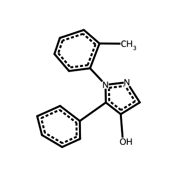 Cc1ccccc1-n1ncc(O)c1-c1ccccc1